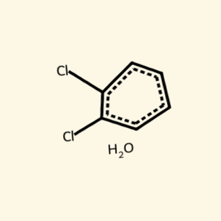 Clc1ccccc1Cl.O